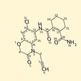 C#CCN1C(=O)COc2cc(Cl)c(NC(=O)C3=C(C(N)=O)CCCC3)cc21